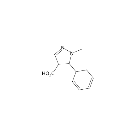 CN1N=CC(C(=O)O)C1C1C=CC=CC1